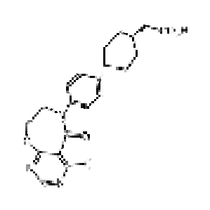 O=C(O)C[C@H]1CC[C@H](c2ccc(N3CCOc4ncnc(Cl)c4C3=O)cc2)CC1